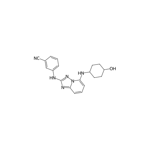 N#Cc1cccc(Nc2nc3cccc(NC4CCC(O)CC4)n3n2)c1